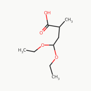 CCOC(CC(C)C(=O)O)OCC